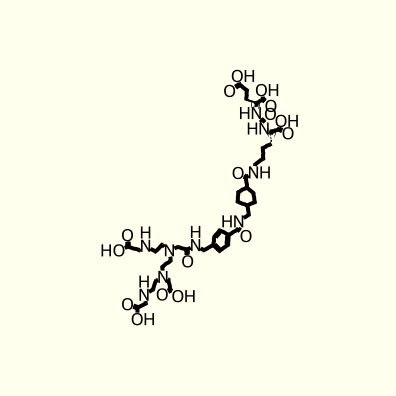 O=C(O)CC[C@H](NC(=O)N[C@@H](CCCCNC(=O)C1CCC(CNC(=O)c2ccc(CNC(=O)CN(CCNCC(=O)O)CCN(CCNCC(=O)O)CC(=O)O)cc2)CC1)C(=O)O)C(=O)O